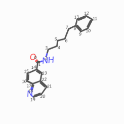 O=C(NCCCCCc1ccccc1)c1ccc2ncccc2c1